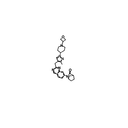 Cc1nn(C2CCN(C3COC3)CC2)cc1Cc1ncc2ccc(N3C(=O)C4CCC3C4)cc2n1